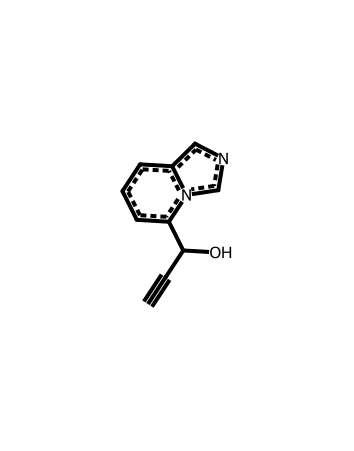 C#CC(O)c1cccc2cncn12